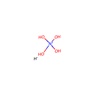 O[N+](O)(O)O.[H-]